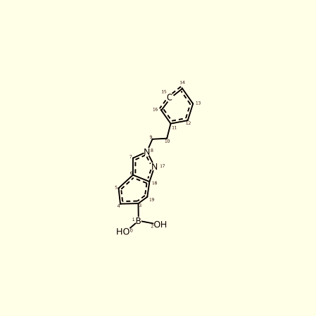 OB(O)c1ccc2cn(CCc3ccccc3)nc2c1